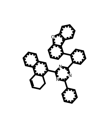 C1=Cc2c(c(-c3nc(-c4ccccc4)nc(-c4ccccc4-c4cccc5oc6ccccc6c45)n3)cc3ccccc23)CC1